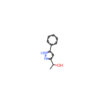 CC(O)c1cc(-c2ccccc2)[nH]n1